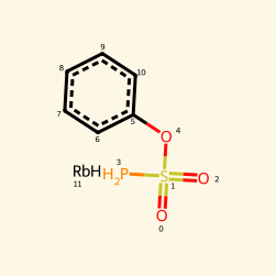 O=S(=O)(P)Oc1ccccc1.[RbH]